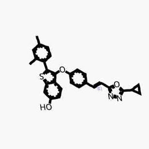 Cc1ccc(-c2sc3cc(O)ccc3c2Oc2ccc(/C=C/c3nnc(C4CC4)o3)cc2)c(C)c1